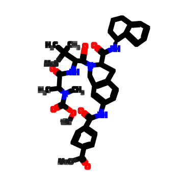 COC(=O)c1ccc(C(=O)Nc2ccc3c(c2)CN(C(=O)C(NC(=O)C(C)N(C)C(=O)OC(C)(C)C)C(C)(C)SC)C(C(=O)N[C@@H]2CCCc4ccccc42)C3)cc1